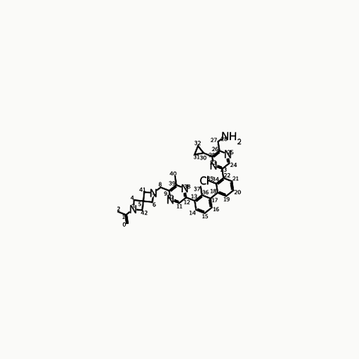 C=C(C)N1CC2(CN(Cc3ncc(-c4cccc(-c5cccc(-c6cnc(CN)c(C7CC7)n6)c5Cl)c4C)nc3C)C2)C1